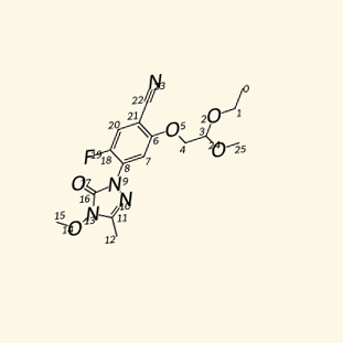 CCOC(COc1cc(-n2nc(C)n(OC)c2=O)c(F)cc1C#N)OC